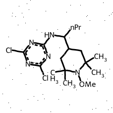 CCCC(Nc1nc(Cl)nc(Cl)n1)C1CC(C)(C)N(OC)C(C)(C)C1